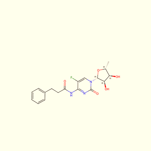 C[C@H]1O[C@@H](n2cc(F)c(NC(=O)CCc3ccccc3)nc2=O)[C@H](O)[C@@H]1O